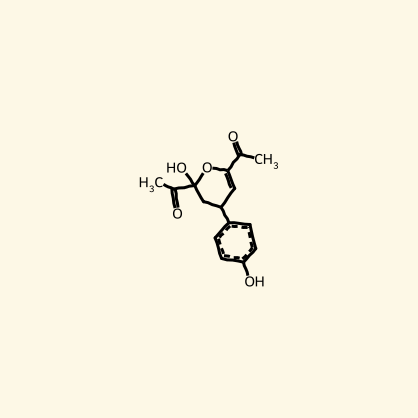 CC(=O)C1=CC(c2ccc(O)cc2)CC(O)(C(C)=O)O1